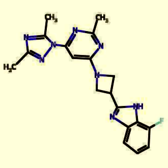 Cc1nc(N2CC(c3nc4cccc(F)c4[nH]3)C2)cc(-n2nc(C)nc2C)n1